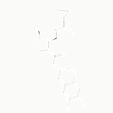 N[C@@H](CC(=O)N1CC[C@@H](O)[C@H]1CNC(=O)C1CC1)Cc1cc(F)c(F)cc1F